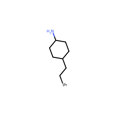 CC(C)CCC1CCC(N)CC1